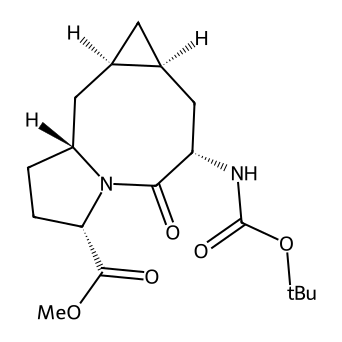 COC(=O)[C@@H]1CC[C@@H]2C[C@H]3C[C@H]3C[C@H](NC(=O)OC(C)(C)C)C(=O)N21